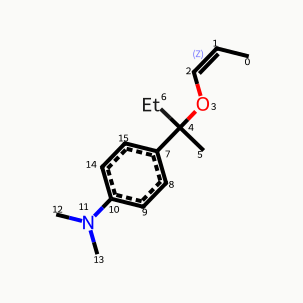 C/C=C\OC(C)(CC)c1ccc(N(C)C)cc1